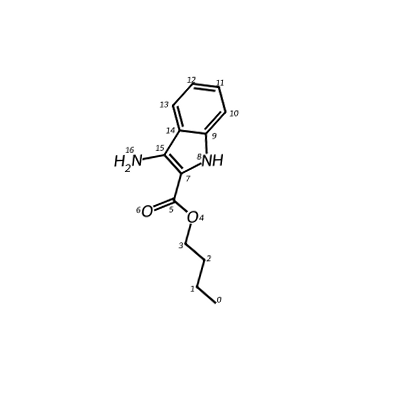 CCCCOC(=O)c1[nH]c2ccccc2c1N